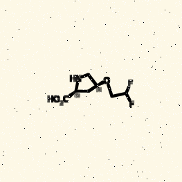 O=C(O)[C@@H]1C[C@H](OCC(F)F)CN1